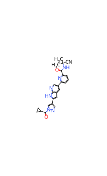 CC(C)(C#N)NC(=O)c1cccc(-c2cnc3[nH]c(-c4cnn(C(=O)C5CC5)c4)cc3c2)n1